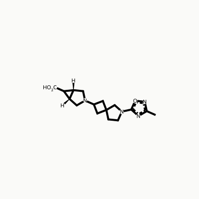 Cc1noc(N2CCC3(CC(N4C[C@@H]5C(C(=O)O)[C@@H]5C4)C3)C2)n1